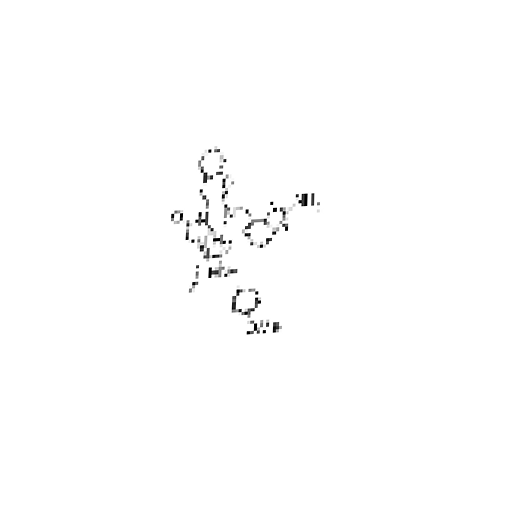 C=CCN(C(=O)NCc1ccc(OC)cc1)N1CC(=O)N2[C@@H](Cc3ccccc3)C(=O)N(Cc3cccc4sc(N)nc34)C[C@@H]21